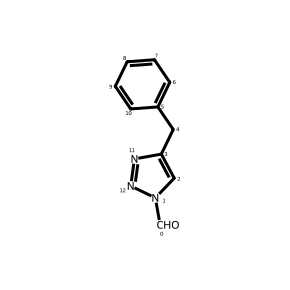 O=Cn1cc(Cc2ccccc2)nn1